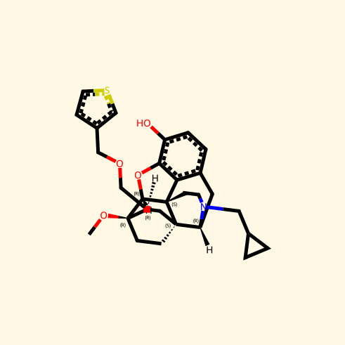 CO[C@]12CC[C@@]3(C[C@@H]1COCc1ccsc1)[C@H]1Cc4ccc(O)c5c4[C@@]3(CCN1CC1CC1)[C@H]2O5